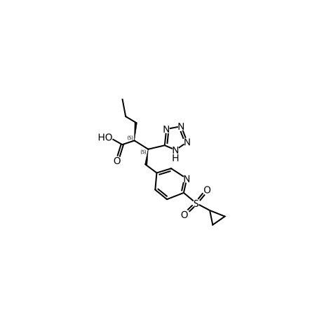 CCC[C@H](C(=O)O)[C@H](Cc1ccc(S(=O)(=O)C2CC2)nc1)c1nnn[nH]1